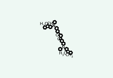 CC1(C)c2ccccc2-c2ccc(N(c3ccccc3)c3ccc4cc5c(cc4c3)oc3c5ccc4c5cc6ccc(N(c7ccccc7)c7ccc8c(c7)C(C)(C)c7ccccc7-8)cc6cc5oc43)cc21